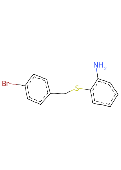 Nc1ccccc1SCc1ccc(Br)cc1